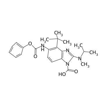 CC(C)N(C)c1nc2c(C(C)(C)C)c(NC(=O)Oc3ccccc3)ccc2n1C(=O)O